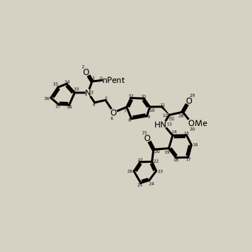 CCCCCC(=O)N(CCOc1ccc(C[C@H](Nc2ccccc2C(=O)c2ccccc2)C(=O)OC)cc1)c1ccccc1